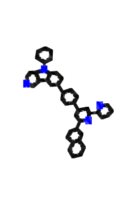 c1ccc(-n2c3ccncc3c3cc(-c4ccc(-c5cc(-c6ccc7ccccc7c6)nc(-c6ccccn6)c5)cc4)ccc32)cc1